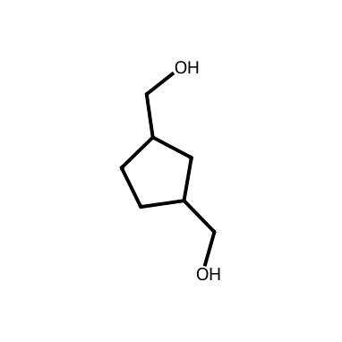 OCC1CCC(CO)C1